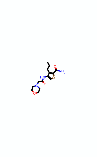 CCCc1c(NC(=O)CN2CCOCC2)csc1C(N)=O